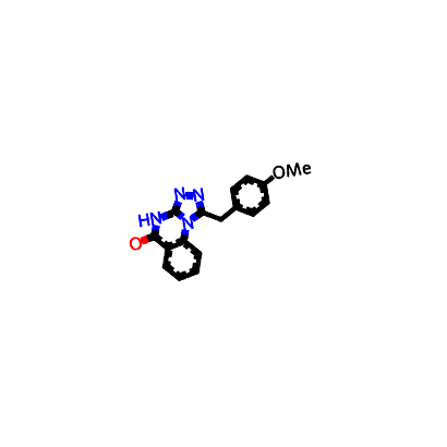 COc1ccc(Cc2nnc3[nH]c(=O)c4ccccc4n23)cc1